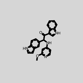 COc1cc(NC(C(=O)c2c[nH]c3ccccc23)c2ccc3[nH]ccc3c2)ccn1